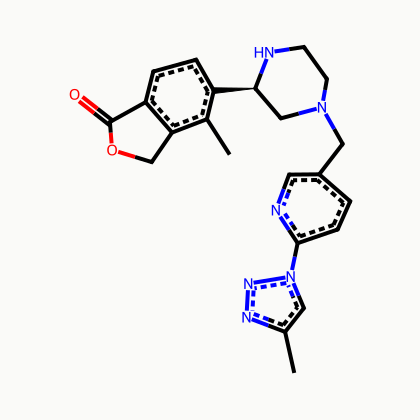 Cc1cn(-c2ccc(CN3CCN[C@H](c4ccc5c(c4C)COC5=O)C3)cn2)nn1